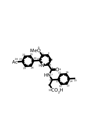 COc1ccc(C(=O)NC(CC(=O)O)c2ccc(C)cc2)nc1-c1ccc(C(C)=O)cc1